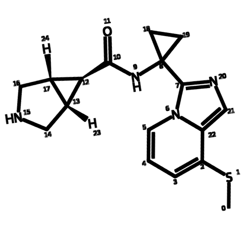 CSc1cccn2c(C3(NC(=O)[C@H]4[C@@H]5CNC[C@@H]54)CC3)ncc12